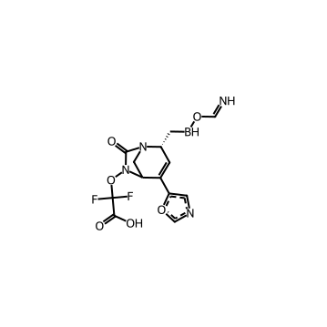 N=COBC[C@@H]1C=C(c2cnco2)C2CN1C(=O)N2OC(F)(F)C(=O)O